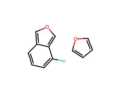 Fc1cccc2cocc12.c1ccoc1